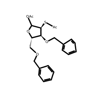 CC(=O)OC1O[C@@H](COCc2ccccc2)[C@H](OCc2ccccc2)[C@@H]1SC(C)=O